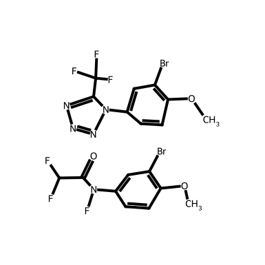 COc1ccc(-n2nnnc2C(F)(F)F)cc1Br.COc1ccc(N(F)C(=O)C(F)F)cc1Br